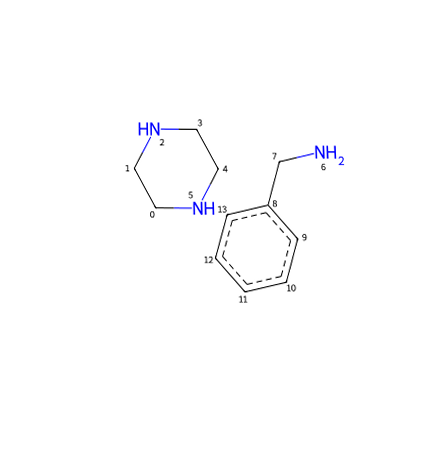 C1CNCCN1.NCc1ccccc1